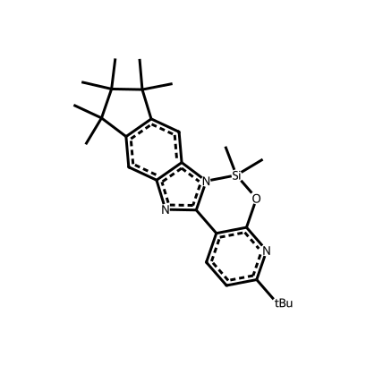 CC(C)(C)c1ccc2c(n1)O[Si](C)(C)n1c-2nc2cc3c(cc21)C(C)(C)C(C)(C)C3(C)C